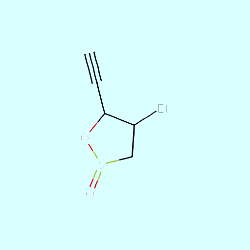 C#CC1OS(=O)CC1CC